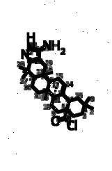 CC1(C)CC[C@]2(C(=O)Cl)CC[C@]3(C)C(=CCC4[C@@]5(C)Cc6c(n[nH]c6N)C(C)(C)C5CC[C@]43C)C2C1